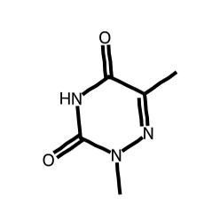 Cc1nn(C)c(=O)[nH]c1=O